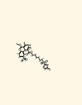 COC(=O)C1=C(C)NC(C)=C(C(=O)OCCCCCCS(=O)(=O)c2nc(C)cs2)C1c1cccc([N+](=O)[O-])c1